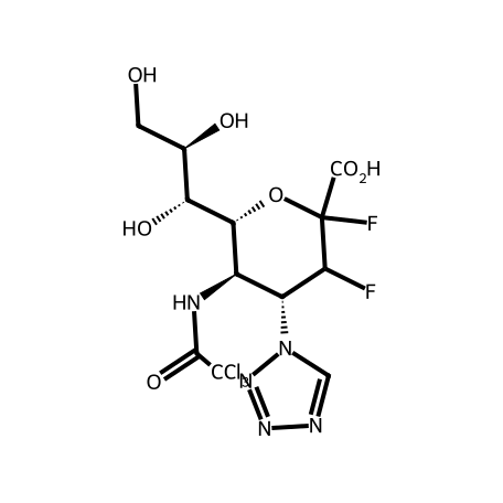 O=C(N[C@H]1[C@H]([C@H](O)[C@H](O)CO)OC(F)(C(=O)O)C(F)[C@@H]1n1cnnn1)C(Cl)(Cl)Cl